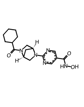 O=C(NO)c1cnc(N2C[C@@H]3C[C@H]2CN3C(=O)C2CCCCC2)nc1